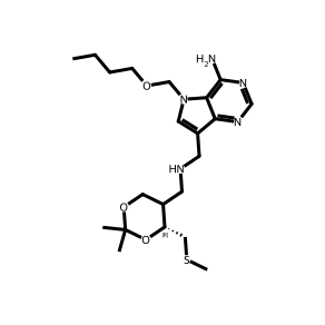 CCCCOCn1cc(CNCC2COC(C)(C)O[C@H]2CSC)c2ncnc(N)c21